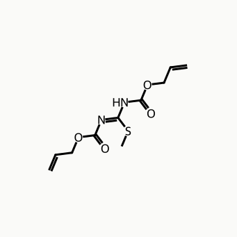 C=CCOC(=O)/N=C(/NC(=O)OCC=C)SC